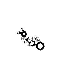 O=C(Nc1ccc(Cl)c(Cl)c1)NC1NCC(C2CCCCCCCC2)C(NO)N1